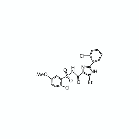 CCc1[nH]c(-c2ccccc2Cl)nc1C(=O)NS(=O)(=O)c1cc(OC)ccc1Cl